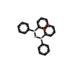 c1ccc([P]([Zr][P](c2ccccc2)c2ccccc2)c2ccccc2)cc1